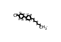 [CH2]CCCCCc1ccc(-c2ccc(Cl)cc2)cc1